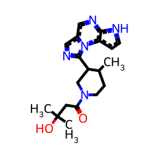 CC1CCN(C(=O)CC(C)(C)O)CC1c1ncc2cnc3[nH]ccc3n12